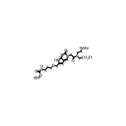 CCOC(=O)CN(CCNC)C(=O)Cn1cc2cc(COCCCNC(=O)OC(C)(C)C)[nH]c2nc1=O